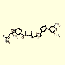 Cc1cc(-c2cccc(-c3csc(NC(=O)CNC(=O)c4cccc(C(C)(C)COC(N)=O)c4)n3)c2)cc(C)n1